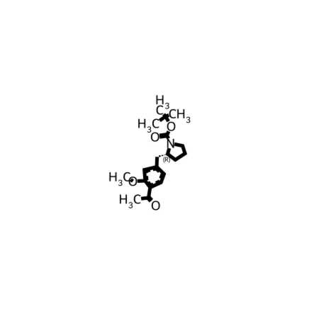 COc1cc(C[C@H]2CCCN2C(=O)OC(C)(C)C)ccc1C(C)=O